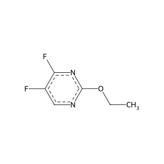 CCOc1ncc(F)c(F)n1